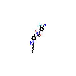 CCCCCc1cn(-c2ccc(CN3C(=O)N(c4ccc(C#N)c(C(F)(F)F)c4)C(=O)C3(C)C)cc2)nn1